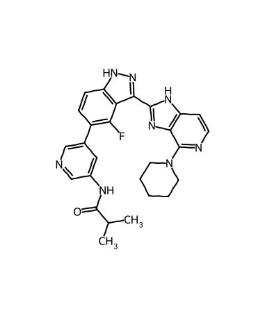 CC(C)C(=O)Nc1cncc(-c2ccc3[nH]nc(-c4nc5c(N6CCCCC6)nccc5[nH]4)c3c2F)c1